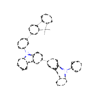 CC1(C)c2ccccc2-c2ccc(-c3cccc(-n4c5ccccc5c5cc(-c6ccc7c(c6)c6ccccc6n7-c6ccccc6)ccc54)c3)cc21